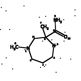 CN1CCC[N]C(C)(C(N)=O)C1